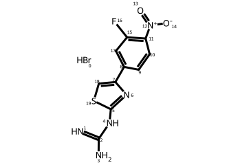 Br.N=C(N)Nc1nc(-c2ccc([N+](=O)[O-])c(F)c2)cs1